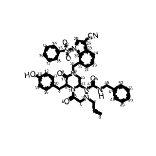 C=CCN1CC(=O)N2C(Cc3ccc(O)cc3)C(=O)N(Cc3cccc4c(C#N)cn(S(=O)(=O)c5ccccc5)c34)CC2N1C(=O)NCc1ccccc1